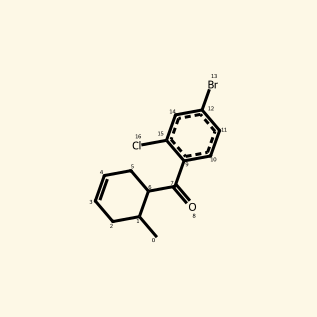 CC1CC=CCC1C(=O)c1ccc(Br)cc1Cl